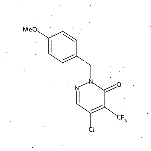 COc1ccc(Cn2ncc(Cl)c(C(F)(F)F)c2=O)cc1